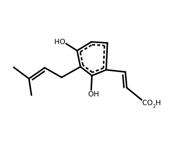 CC(C)=CCc1c(O)ccc(/C=C/C(=O)O)c1O